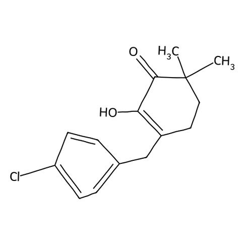 CC1(C)CCC(Cc2ccc(Cl)cc2)=C(O)C1=O